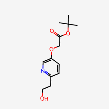 CC(C)(C)OC(=O)COc1ccc(CCO)nc1